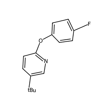 CC(C)(C)c1ccc(Oc2ccc(F)cc2)nc1